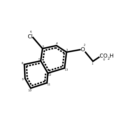 O=C(O)COc1cc(Cl)c2ccccc2c1